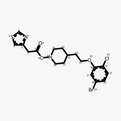 O=C(Cc1cscn1)ON1CCC(CCOc2cc(Br)ccc2Cl)CC1